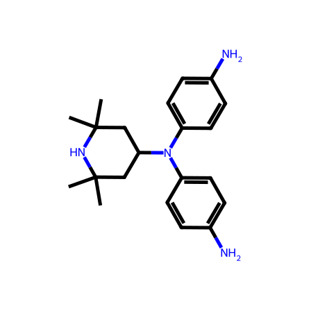 CC1(C)CC(N(c2ccc(N)cc2)c2ccc(N)cc2)CC(C)(C)N1